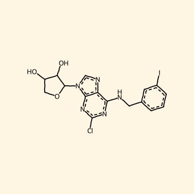 OC1COC(n2cnc3c(NCc4cccc(I)c4)nc(Cl)nc32)C1O